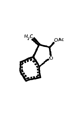 C=C1c2ccccc2OC1OC(C)=O